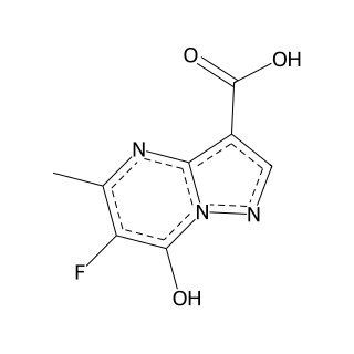 Cc1nc2c(C(=O)O)cnn2c(O)c1F